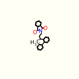 CC(CCN1C(=O)c2ccccc2C1=O)c1ccccc1-c1ccccc1